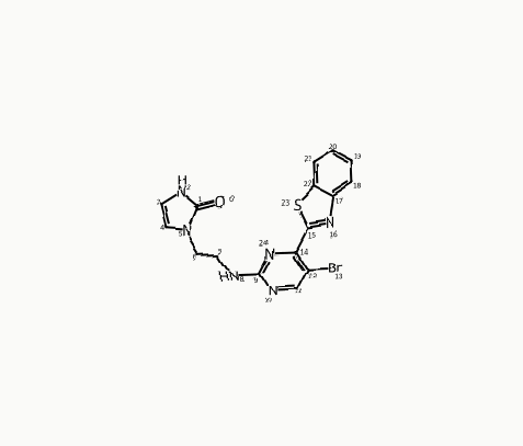 O=c1[nH]ccn1CCNc1ncc(Br)c(-c2nc3ccccc3s2)n1